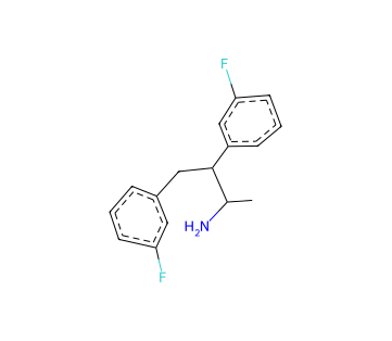 CC(N)C(Cc1cccc(F)c1)c1cccc(F)c1